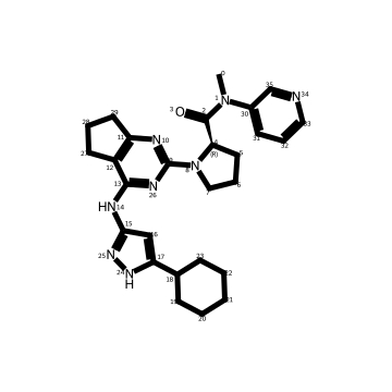 CN(C(=O)[C@H]1CCCN1c1nc2c(c(Nc3cc(C4CCCCC4)[nH]n3)n1)CCC2)c1cccnc1